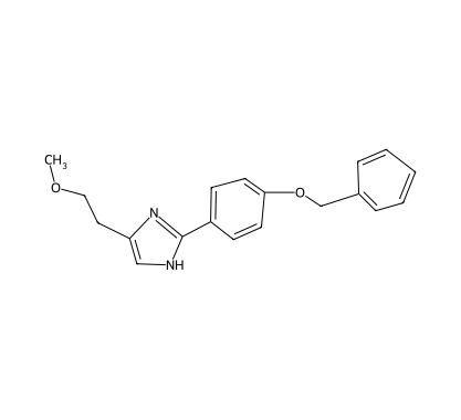 COCCc1c[nH]c(-c2ccc(OCc3ccccc3)cc2)n1